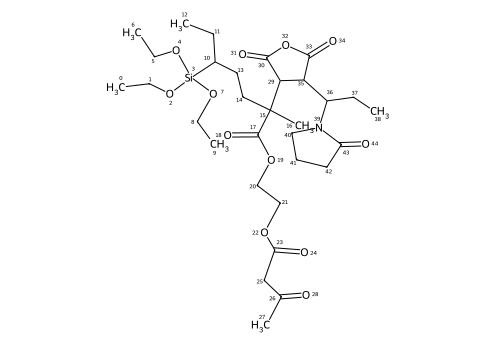 CCO[Si](OCC)(OCC)C(CC)CCC(C)(C(=O)OCCOC(=O)CC(C)=O)C1C(=O)OC(=O)C1C(CC)N1CCCC1=O